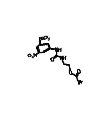 CC(C)C(=O)OCCNC(=O)Nc1cc([N+](=O)[O-])cc([N+](=O)[O-])c1